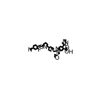 Cn1cc(-c2cc3nc(CN4CCC(c5cccc(OCc6ccc(C#N)cc6F)n5)CC4)n(C[C@@H]4CCO4)c3cc2C(=O)O)cn1